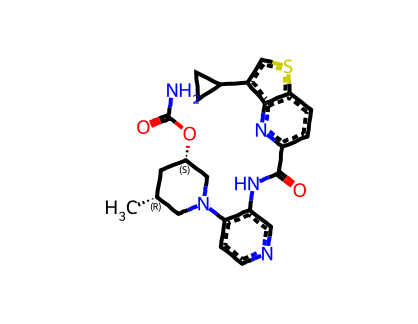 C[C@@H]1C[C@H](OC(N)=O)CN(c2ccncc2NC(=O)c2ccc3scc(C4CC4)c3n2)C1